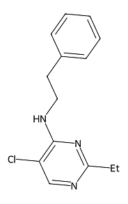 CCc1ncc(Cl)c(NCCc2ccccc2)n1